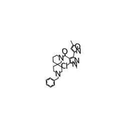 Cc1cc(-c2nn(C)c(Cl)c2C(=O)N2CCCC3(CCN(Cc4ccccc4)CC3)C2)no1